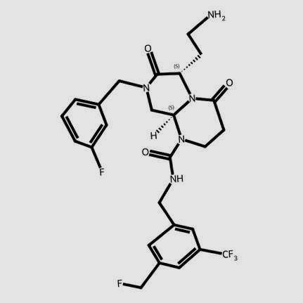 NCC[C@H]1C(=O)N(Cc2cccc(F)c2)C[C@@H]2N(C(=O)NCc3cc(CF)cc(C(F)(F)F)c3)CCC(=O)N21